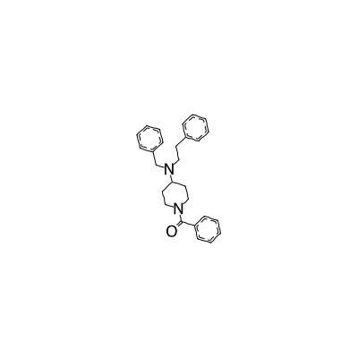 O=C(c1ccccc1)N1CCC(N(CCc2ccccc2)Cc2ccccc2)CC1